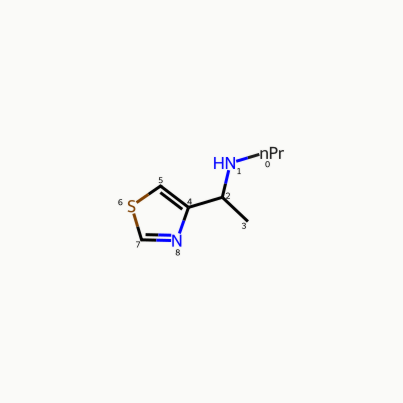 CCCNC(C)c1cscn1